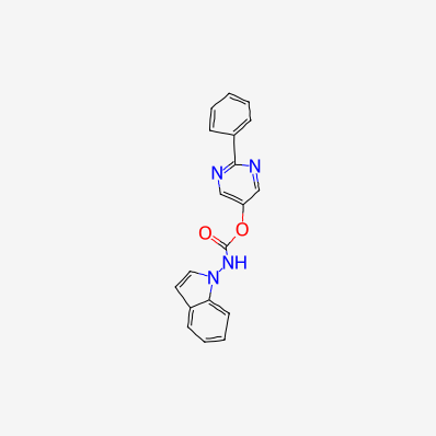 O=C(Nn1ccc2ccccc21)Oc1cnc(-c2ccccc2)nc1